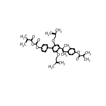 C=C(C)COc1cc(-c2ccc(OC(=O)OC(=O)C(=C)C)cc2)c(OCC(=C)C)cc1/C(C)=C(\C)c1ccc(OC(=O)C(=C)C)cc1